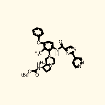 CC(C)(C)OC(=O)N[C@H]1CCN2CCN(c3c(NC(=O)c4csc(-c5ccnnc5)n4)ccc(Oc4ccccc4)c3C(F)(F)F)C[C@H]12